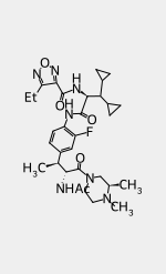 CCc1nonc1C(=O)N[C@H](C(=O)Nc1ccc([C@H](C)[C@@H](NC(C)=O)C(=O)N2CCN(C)[C@H](C)C2)cc1F)C(C1CC1)C1CC1